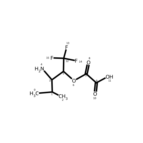 CC(C)C(N)C(OC(=O)C(=O)O)C(F)(F)F